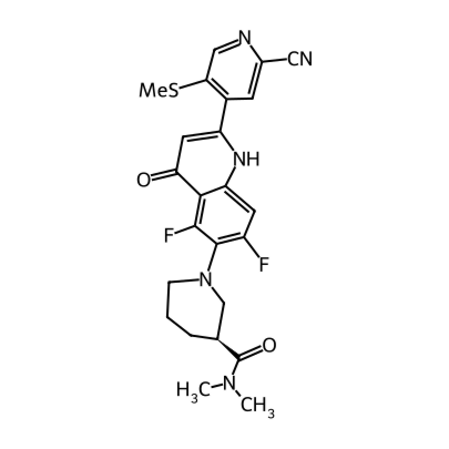 CSc1cnc(C#N)cc1-c1cc(=O)c2c(F)c(N3CCC[C@H](C(=O)N(C)C)C3)c(F)cc2[nH]1